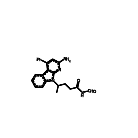 CC(C)c1cc(N)nc2c1c1ccccc1n2C(C)CCC(=O)NC=O